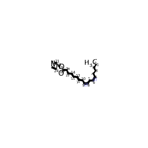 CCCCC/C=C\C/C=C\CCCCCCCC(=O)ON1C=NCC1